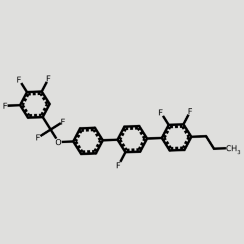 CCCc1ccc(-c2ccc(-c3ccc(OC(F)(F)c4cc(F)c(F)c(F)c4)cc3)c(F)c2)c(F)c1F